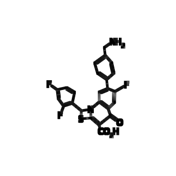 NCc1ccc(-c2cc3c(cc2F)c(=O)c(C(=O)O)c2n3C(c3ccc(F)cc3F)S2)cc1